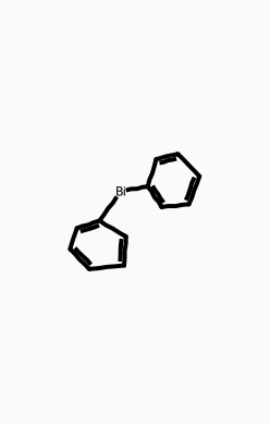 c1cc[c]([Bi][c]2ccccc2)cc1